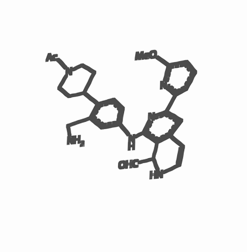 COc1cccc(-c2cc3c(c(Nc4ccc(C5CCN(C(C)=O)CC5)c(CN)c4)n2)C(C=O)NC=C3)n1